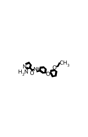 CCCOc1cccc(Oc2cccc(CNC(=O)c3cccnc3N)c2)c1